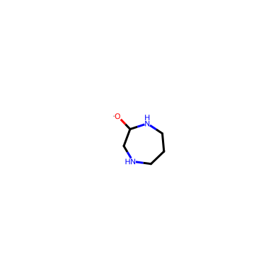 [O]C1CNCCCN1